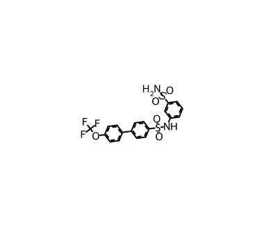 NS(=O)(=O)c1cccc(NS(=O)(=O)c2ccc(-c3ccc(OC(F)(F)F)cc3)cc2)c1